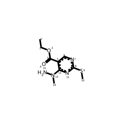 CCOC(=O)c1cnc(SC)nc1N(C)N